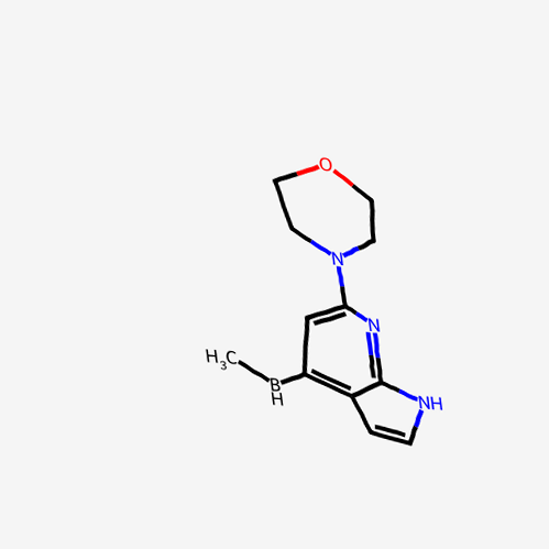 CBc1cc(N2CCOCC2)nc2[nH]ccc12